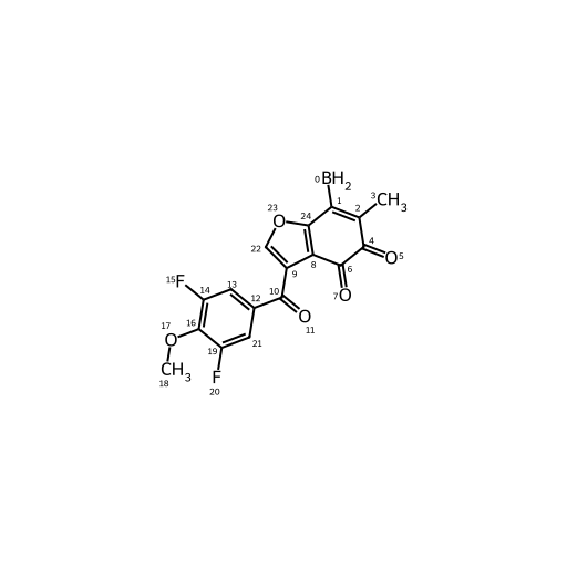 BC1=C(C)C(=O)C(=O)c2c(C(=O)c3cc(F)c(OC)c(F)c3)coc21